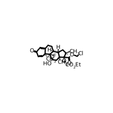 CCOC(=O)O[C@]1(C(=O)OCCl)[C@H](C)C[C@H]2[C@@H]3CCC4=CC(=O)C=C[C@]4(C)[C@@]3(F)[C@@H](O)C[C@@]21C